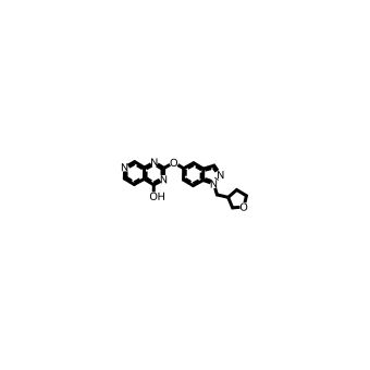 Oc1nc(Oc2ccc3c(cnn3CC3CCOC3)c2)nc2cnccc12